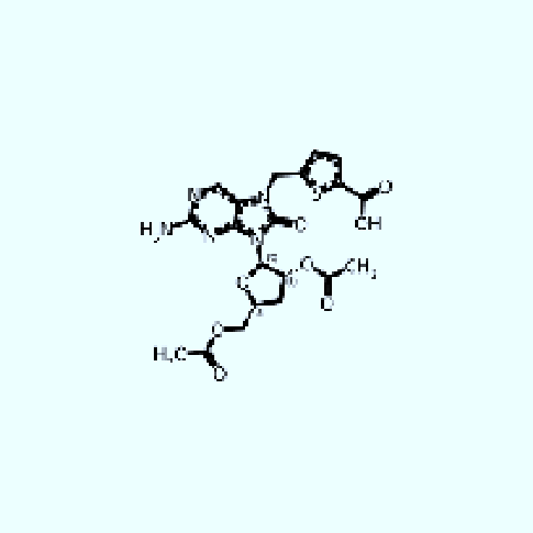 CC(=O)OC[C@@H]1C[C@@H](OC(C)=O)[C@H](n2c(=O)n(Cc3ccc(C(=O)O)s3)c3cnc(N)nc32)O1